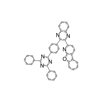 c1ccc(-c2nc(-c3ccccc3)nc(-c3ccc(-c4nc5ccccc5nc4-c4ccc5c(n4)oc4ccccc45)cc3)n2)cc1